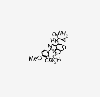 COc1ccc(C2=NC=C3C(NC(C(N)=O)C4CC4)=COCC4=C3N2C(C)C4)cc1C(=O)O